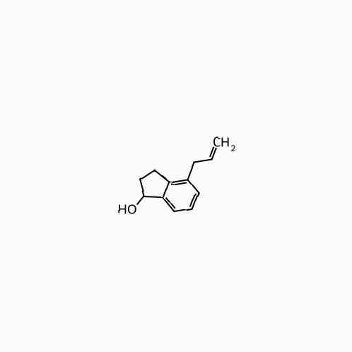 C=CCc1cccc2c1CCC2O